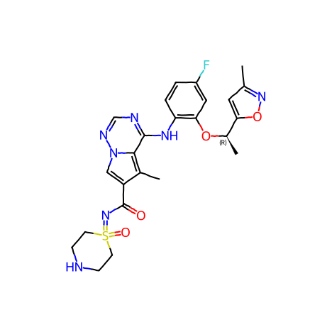 Cc1cc([C@@H](C)Oc2cc(F)ccc2Nc2ncnn3cc(C(=O)N=S4(=O)CCNCC4)c(C)c23)on1